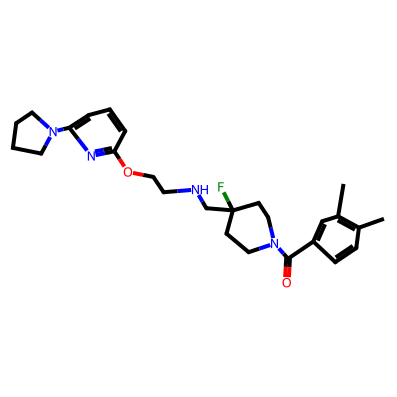 Cc1ccc(C(=O)N2CCC(F)(CNCCOc3cccc(N4CCCC4)n3)CC2)cc1C